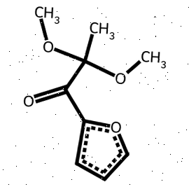 COC(C)(OC)C(=O)c1ccco1